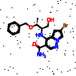 C[C@@H](OCc1ccccc1)[C@@H](CO)Nc1c(C(N)=O)cnn2cc(Br)cc12